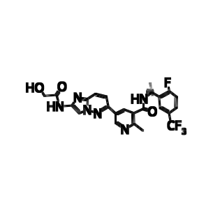 Cc1ncc(-c2ccc3nc(NC(=O)CO)cn3n2)cc1C(=O)N[C@H](C)c1cc(C(F)(F)F)ccc1F